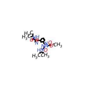 CCOC(=O)Cn1nc(-c2cccc(-c3ncc(C(=O)NC(CC)CC)o3)c2)nc1C(=O)NC(CC)CC